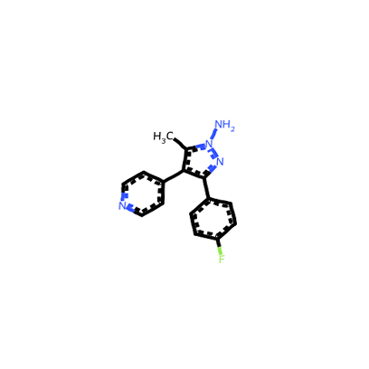 Cc1c(-c2ccncc2)c(-c2ccc(F)cc2)nn1N